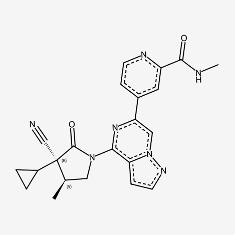 CNC(=O)c1cc(-c2cn3nccc3c(N3C[C@@H](C)[C@@](C#N)(C4CC4)C3=O)n2)ccn1